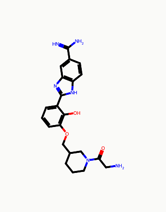 N=C(N)c1ccc2[nH]c(-c3cccc(OCC4CCCN(C(=O)CN)C4)c3O)nc2c1